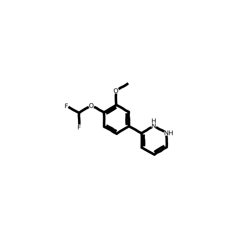 COc1cc(C2=CC=CNN2)ccc1OC(F)F